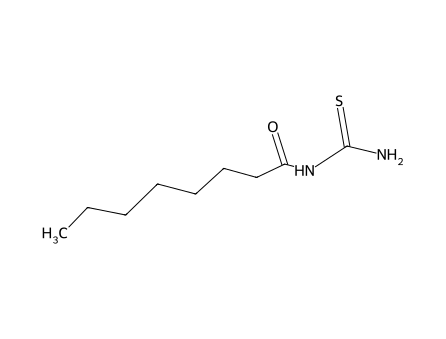 CCCCCCCC(=O)NC(N)=S